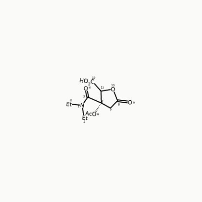 CCN(CC)C(=O)[C@]1(OC(C)=O)CC(=O)OC1C(=O)O